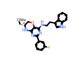 COC[C@@H]1COc2c(NCCc3c[nH]c4ccccc34)nc(-c3cccc(F)c3)nc2N1